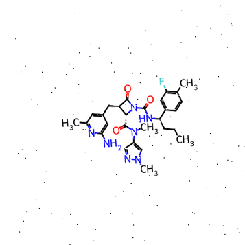 CCC[C@@H](NC(=O)N1C(=O)[C@H](Cc2cc(C)nc(N)c2)[C@H]1C(=O)N(C)c1cnn(C)c1)c1ccc(C)c(F)c1